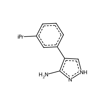 CC(C)c1cccc(-c2c[nH]nc2N)c1